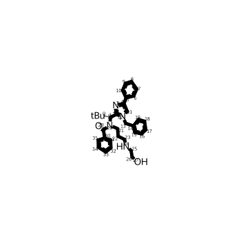 CC(C)(C)[C@H](c1nc(-c2ccccc2)cn1Cc1ccccc1)N(CCCNCCO)C(=O)c1ccccc1